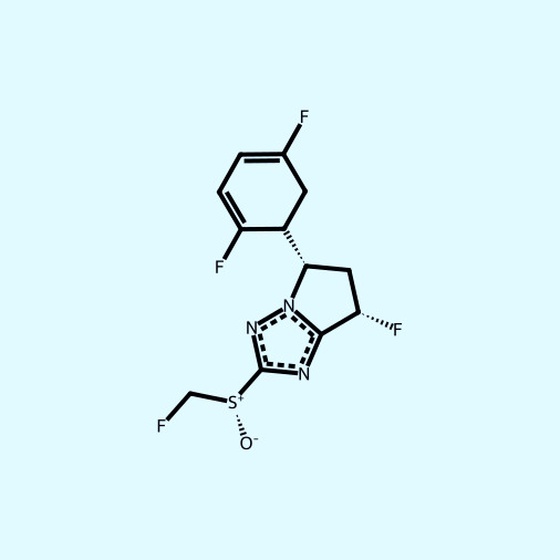 [O-][S@+](CF)c1nc2n(n1)[C@H](C1CC(F)=CC=C1F)C[C@@H]2F